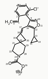 C=Cc1cncc(Cl)c1-c1noc(C2CC2)c1C=C1CC2(CCN(C(=O)OC(C)(C)C)CC2)C1